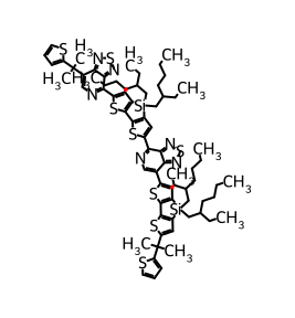 CCCCC(CC)C[Si]1(CC(CC)CCCC)c2cc(-c3ncc(-c4cc5c(s4)-c4sc(C(C)(C)c6cccs6)cc4[Si]5(CC(CC)CCCC)CC(CC)CCCC)c4nsnc34)sc2-c2sc(-c3ncc(C(C)(C)c4cccs4)c4nsnc34)cc21